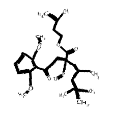 COc1cccc(OC)c1C(=O)CC(CC(C)CC(C)(C)C)(P=O)C(=O)OCCC(C)C